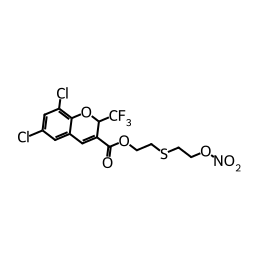 O=C(OCCSCCO[N+](=O)[O-])C1=Cc2cc(Cl)cc(Cl)c2OC1C(F)(F)F